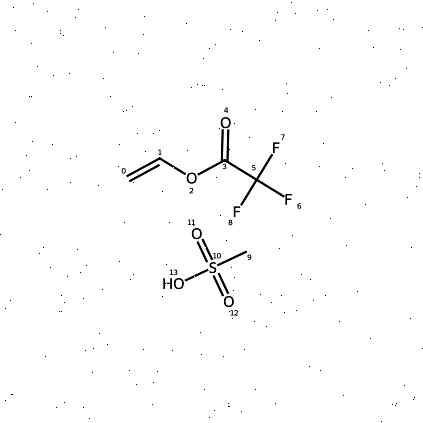 C=COC(=O)C(F)(F)F.CS(=O)(=O)O